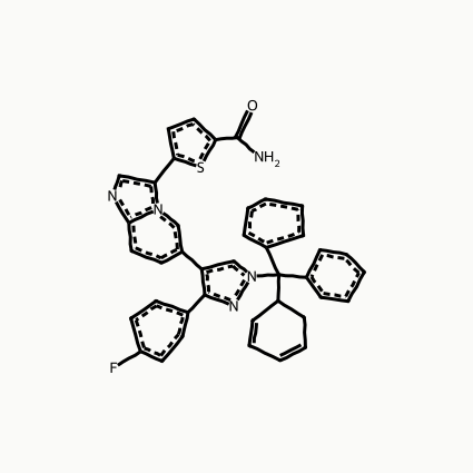 NC(=O)c1ccc(-c2cnc3ccc(-c4cn(C(c5ccccc5)(c5ccccc5)C5C=CC=CC5)nc4-c4ccc(F)cc4)cn23)s1